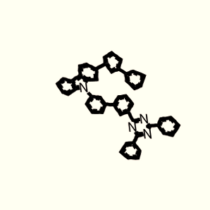 c1ccc(-c2cccc(-c3ccc4c5ccccc5n(-c5cccc(-c6cccc(-c7nc(-c8ccccc8)nc(-c8ccccc8)n7)c6)c5)c4c3)c2)cc1